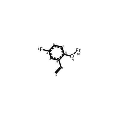 C=Cc1cc(F)ccc1OCC